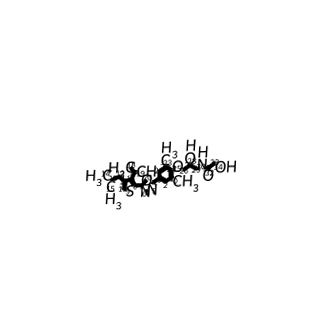 Cc1cc(-c2nnc(-c3scc(CC(C)C)c3C(C)C)o2)cc(C)c1OCC(O)CNC(=O)CO